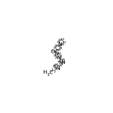 CCCc1nc(Cn2cc(N3CCN(C(=O)C4CCC(N5CCCCC5)CC4)CC3)cn2)cs1